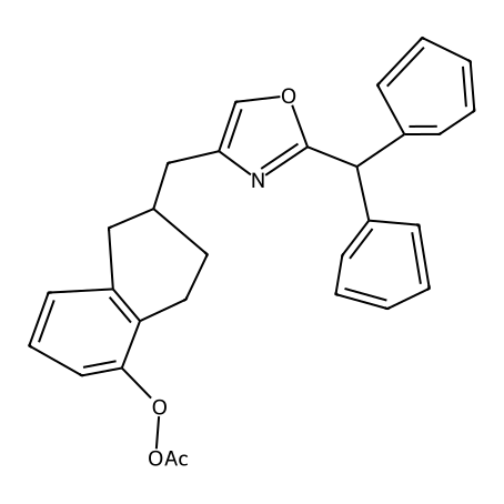 CC(=O)OOc1cccc2c1CCC(Cc1coc(C(c3ccccc3)c3ccccc3)n1)C2